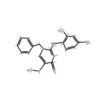 COc1cn(Cc2ccccc2)c(Nc2ccc(C)cc2C)nc1=O